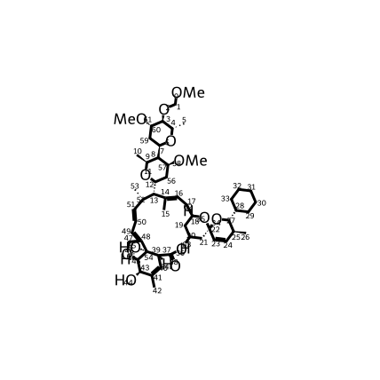 COCO[C@H]1[C@H](C)O[C@@H](C2[C@H](C)OC([C@@H]3/C(C)=C/C[C@@H]4C[C@@H](C[C@]5(C=C[C@H](C)[C@@H](C6CCCCC6)O5)O4)OC(=O)[C@@H]4C=C(C)[C@@H](O)[C@H]5OC/C(=C\C=C\[C@@H]3C)[C@]54O)C[C@@H]2OC)C[C@@H]1OC